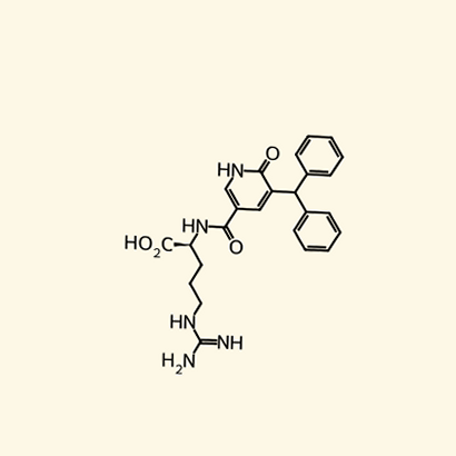 N=C(N)NCCC[C@H](NC(=O)c1c[nH]c(=O)c(C(c2ccccc2)c2ccccc2)c1)C(=O)O